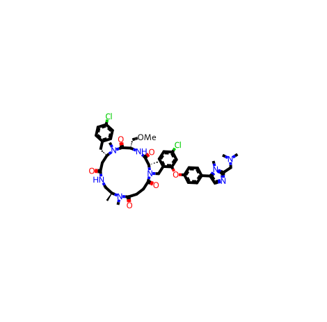 COC[C@@H]1NC(=O)[C@H](C)N(Cc2ccc(Cl)cc2Oc2ccc(-c3cnc(CN(C)C)n3C)cc2)C(=O)CCC(=O)N(C)[C@@H](C)CNC(=O)C[C@H](Cc2ccc(Cl)cc2)N(C)C1=O